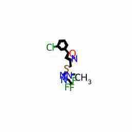 CCn1c(SCc2cc(-c3cccc(Cl)c3)on2)nnc1C(F)(F)F